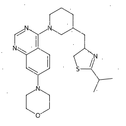 CC(C)C1=NC(CC2CCCN(c3ncnc4cc(N5CCOCC5)ccc34)C2)CS1